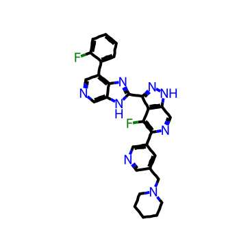 Fc1ccccc1-c1cncc2[nH]c(-c3n[nH]c4cnc(-c5cncc(CN6CCCCC6)c5)c(F)c34)nc12